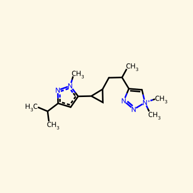 CC(CC1CC1c1cc(C(C)C)nn1C)C1=C[N+](C)(C)N=N1